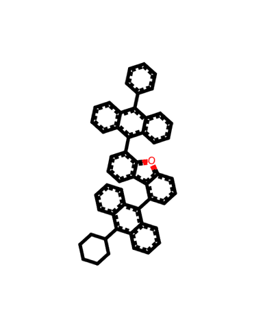 c1ccc(-c2c3ccccc3c(-c3cccc4c3oc3cccc(-c5c6ccccc6c(C6CCCCC6)c6ccccc56)c34)c3ccccc23)cc1